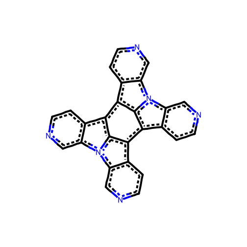 c1cc2c3c4c5ccncc5n5c6cnccc6c(c6c7ccncc7n(c2cn1)c36)c45